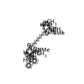 CN[C@@H](C)C(=O)N[C@H]1CN(C(=O)CCCCCCCCCCC(=O)N2CC[C@H]3CC[C@@H](C(=O)NC(c4ccccc4)c4ccccc4)N3C(=O)[C@@H](NC(=O)[C@H](C)NC)C2)CC[C@H]2CC[C@@H](C)N2C1=O